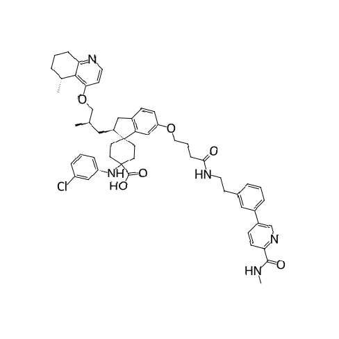 CNC(=O)c1ccc(-c2cccc(CCNC(=O)CCCOc3ccc4c(c3)C3(CCC(Nc5cccc(Cl)c5)(C(=O)O)CC3)[C@@H](C[C@@H](C)COc3ccnc5c3[C@H](C)CCC5)C4)c2)cn1